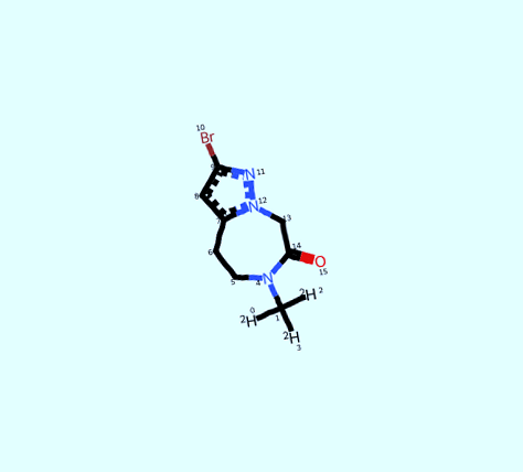 [2H]C([2H])([2H])N1CCc2cc(Br)nn2CC1=O